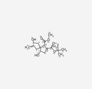 C=CCC1(CCO)C(O)CN(C(=O)OC(C)(C)C)[C@@H]1C(=O)OC